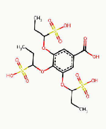 CCC(Oc1cc(C(=O)O)cc(OC(CC)S(=O)(=O)O)c1OC(CC)S(=O)(=O)O)S(=O)(=O)O